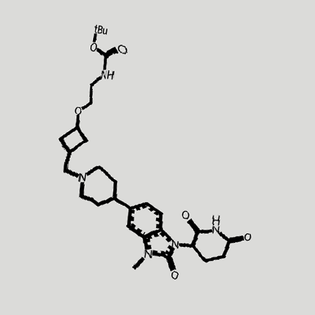 Cn1c(=O)n(C2CCC(=O)NC2=O)c2ccc(C3CCN(CC4CC(OCCNC(=O)OC(C)(C)C)C4)CC3)cc21